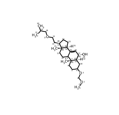 COCOC1CC[C@]2(C)C3CC[C@]4(C)[C@@H](CCOCC(C)C)CC[C@H]4C3=C[C@H](O)[C@H]2C1